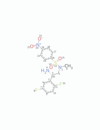 CN(C[C@@H](N)c1cc(F)ccc1F)S(=O)(=O)c1ccc([N+](=O)[O-])cc1